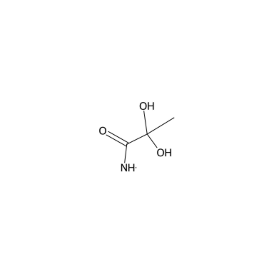 CC(O)(O)C([NH])=O